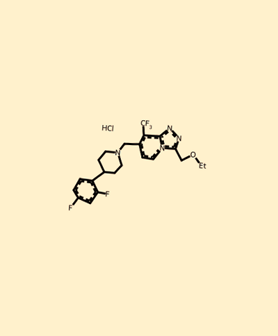 CCOCc1nnc2c(C(F)(F)F)c(CN3CCC(c4ccc(F)cc4F)CC3)ccn12.Cl